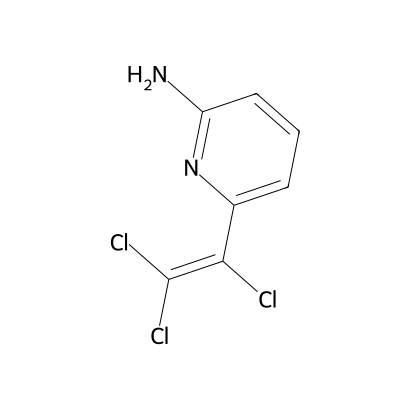 Nc1cccc(C(Cl)=C(Cl)Cl)n1